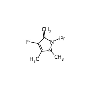 C=C1C(C(C)C)=C(C)N(C)N1C(C)C